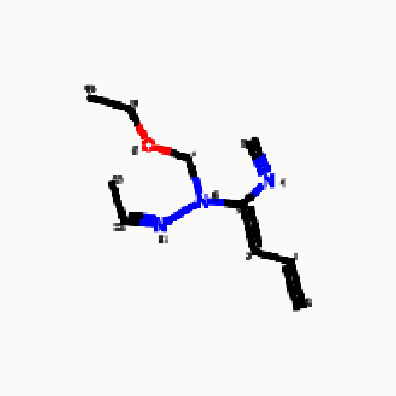 C=C/C=C(\N=C)N(COCC)/N=C\C